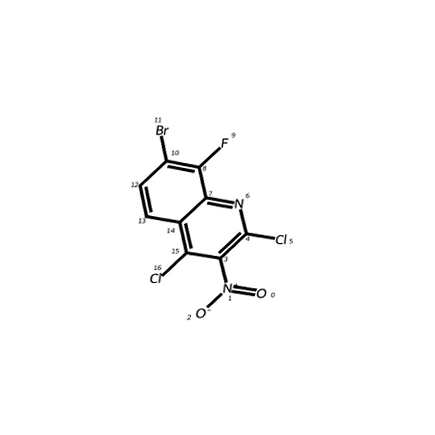 O=[N+]([O-])c1c(Cl)nc2c(F)c(Br)ccc2c1Cl